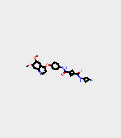 COc1cc2nccc(Oc3ccc(NC(=O)C45CC(C(=O)NC67CC(F)(C6)C7)(C4)C5)cc3)c2cc1OC